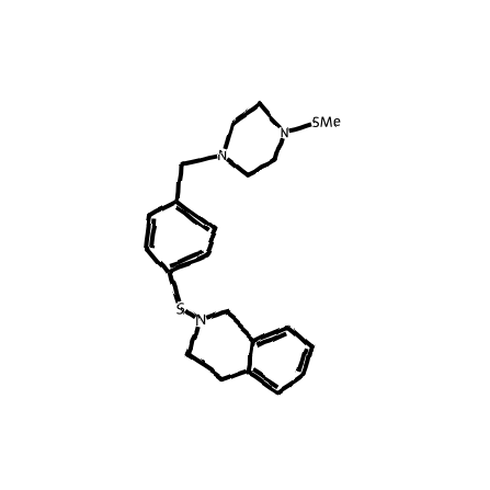 CSN1CCN(Cc2ccc(SN3CCc4ccccc4C3)cc2)CC1